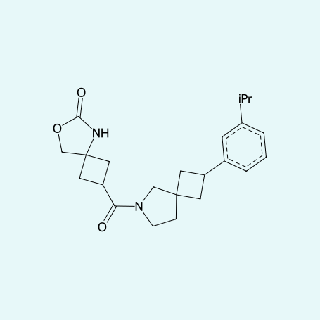 CC(C)c1cccc(C2CC3(CCN(C(=O)C4CC5(COC(=O)N5)C4)C3)C2)c1